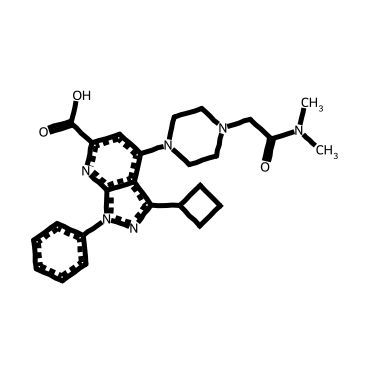 CN(C)C(=O)CN1CCN(c2cc(C(=O)O)nc3c2c(C2CCC2)nn3-c2ccccc2)CC1